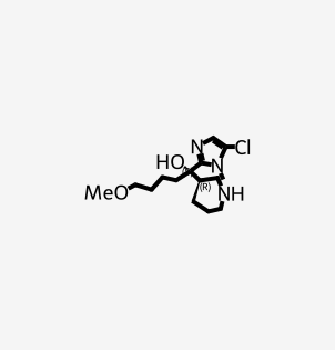 COCCCC[C@@](O)(c1ncc(Cl)n1C)[C@@H]1CCCNC1